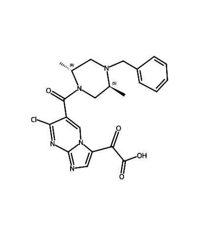 C[C@@H]1CN(Cc2ccccc2)[C@@H](C)CN1C(=O)c1cn2c(C(=O)C(=O)O)cnc2nc1Cl